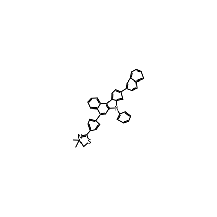 CC1(C)CSC(c2ccc(-c3cc4c(c5ccccc35)c3ccc(-c5ccc6ccccc6c5)cc3n4-c3ccccc3)cc2)=N1